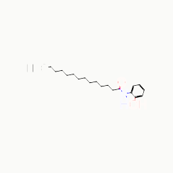 CCCCCCCCCCCCCC(=O)Nc1ccccc1O